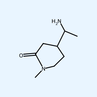 CC(N)C1CCN(C)C(=O)C1